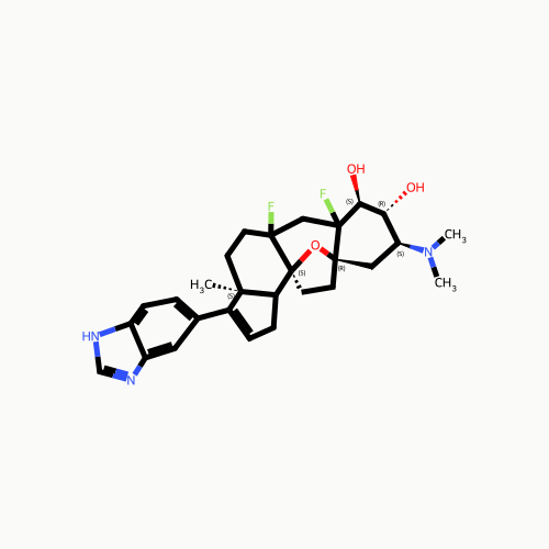 CN(C)[C@H]1C[C@@]23CC[C@]4(O2)C2CC=C(c5ccc6[nH]cnc6c5)[C@@]2(C)CCC4(F)CC3(F)[C@@H](O)[C@@H]1O